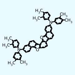 Cc1ccc(N(c2ccc(C)c(C)c2)c2ccc3c(ccc4c5ccc6oc7c8ccc(N(c9ccc(C)c(C)c9)c9ccc(C)c(C)c9)cc8ccc7c6c5oc34)c2)cc1C